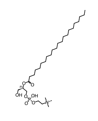 CCCCCCCCCCCCCCCCCCCCCC(=O)O[C@H](CO)COP(=O)(O)OCC[N+](C)(C)C